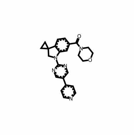 O=C(c1ccc2c(c1)N(c1ncc(-c3ccncc3)cn1)CC21CC1)N1CCOCC1